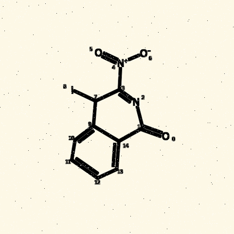 O=C1N=C([N+](=O)[O-])C(I)c2ccccc21